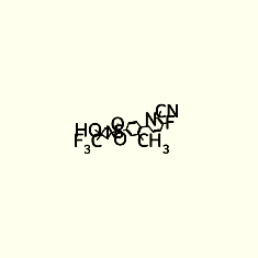 Cc1cc(S(=O)(=O)N2CC(O)(C(F)(F)F)C2)ccc1-c1ccc(F)c(C#N)n1